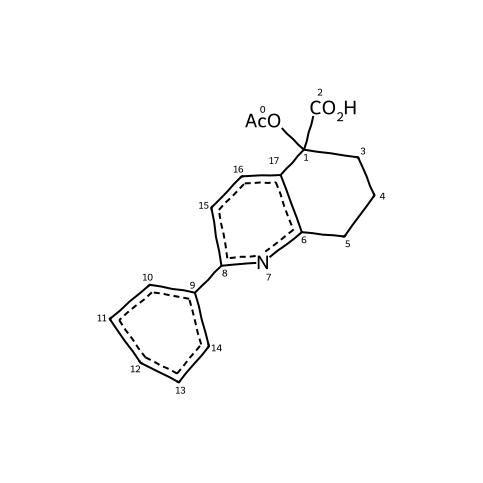 CC(=O)OC1(C(=O)O)CCCc2nc(-c3ccccc3)ccc21